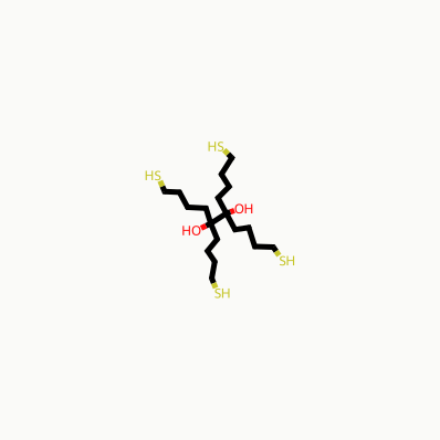 OC(CCCCS)(CCCCS)C(O)(CCCCS)CCCCS